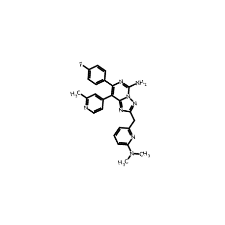 Cc1cc(-c2c(-c3ccc(F)cc3)nc(N)n3nc(Cc4cccc(N(C)C)n4)nc23)ccn1